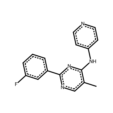 Cc1cnc(-c2cccc(F)c2)nc1Nc1ccncc1